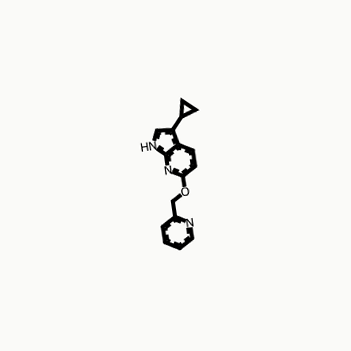 c1ccc(COc2ccc3c(C4CC4)c[nH]c3n2)nc1